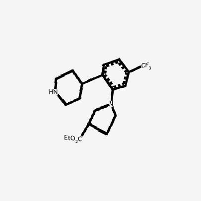 CCOC(=O)C1CCN(c2cc(C(F)(F)F)ccc2C2CCNCC2)C1